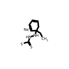 CCC1(NNC(=S)[S-])C=CC=CC1.[Na+]